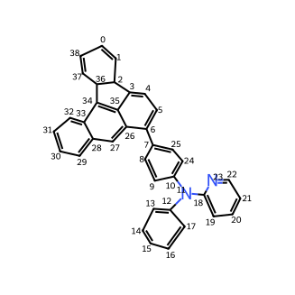 C1=CC2c3ccc(-c4ccc(N(c5ccccc5)c5ccccn5)cc4)c4cc5ccccc5c(c34)C2C=C1